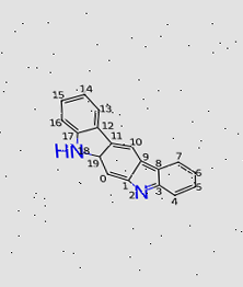 C1=C2N=c3ccccc3=C2C=C2c3ccccc3NC12